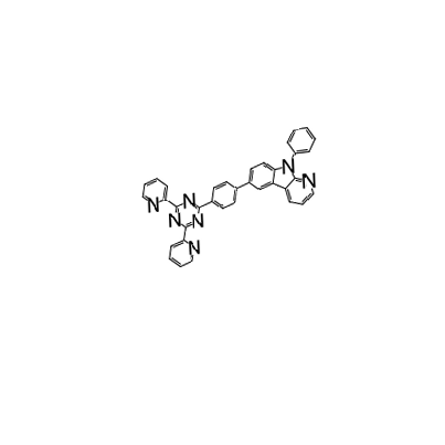 c1ccc(-n2c3ccc(-c4ccc(-c5nc(-c6ccccn6)nc(-c6ccccn6)n5)cc4)cc3c3cccnc32)cc1